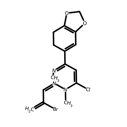 C=C(Br)/C=N\N(C)/C(Cl)=C\C(=N/C)C1=CC2=C(CC1)OCO2